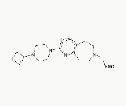 CCCC(C)CN1CCc2cnc(N3CCN(C4CCC4)CC3)nc2CC1